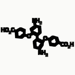 Nc1ccc(-c2ccc(N)cc2Oc2ccc(C(=O)O)cc2)c(Oc2ccc(C(=O)O)cc2)c1